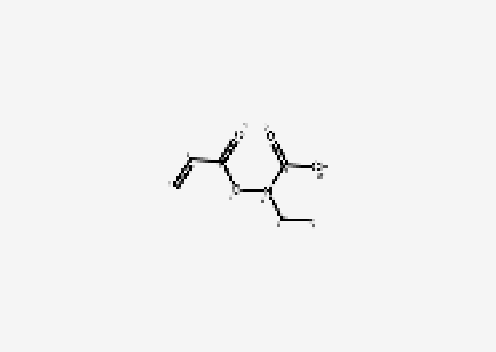 C=CC(=O)ON(CC)C(=O)O